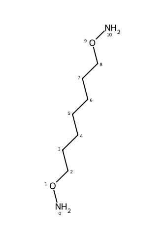 NOCCCCCCCON